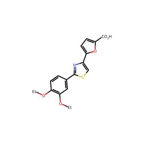 CCOc1ccc(-c2nc(-c3ccc(C(=O)O)o3)cs2)cc1OCC